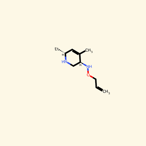 C=CCON[C@H]1CN[C@H](CC)C=C1C